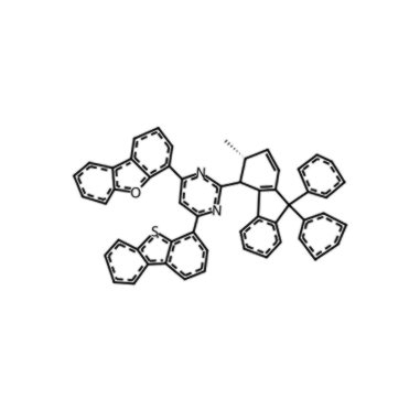 C[C@@H]1C=CC2=C(c3ccccc3C2(c2ccccc2)c2ccccc2)C1c1nc(-c2cccc3c2oc2ccccc23)cc(-c2cccc3c2sc2ccccc23)n1